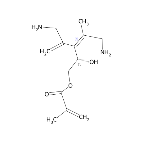 C=C(C)C(=O)OC[C@@H](O)/C(C(=C)CN)=C(/C)CN